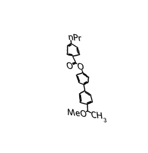 CCCc1ccc(C(=O)Oc2ccc(-c3ccc(C(C)OC)cc3)cc2)cc1